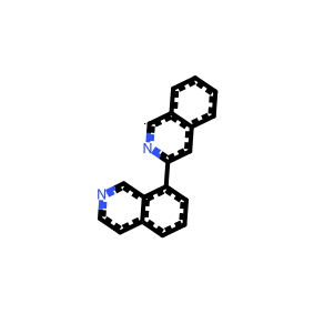 [c]1nc(-c2cccc3ccncc23)cc2ccccc12